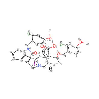 COC(=O)[C@@H]1[C@H]2C[C@]3(I)N(CC[C@@]34C(=O)N(Cc3ccc(OC)cc3Cl)c3ccccc34)C[C@@H]2CC[C@@H]1OCc1ccc(OC)cc1Cl